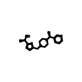 O=C(O)c1ccc(CN2CCN(C(=O)c3cccnc3)CC2)s1